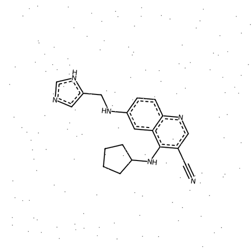 N#Cc1cnc2ccc(NCc3cnc[nH]3)cc2c1NC1CCCC1